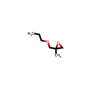 [CH2]CCOCC1(C)CO1